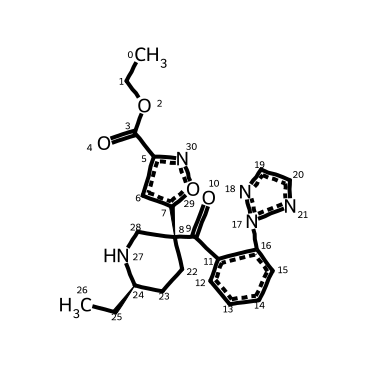 CCOC(=O)c1cc([C@@]2(C(=O)c3ccccc3-n3nccn3)CC[C@@H](CC)NC2)on1